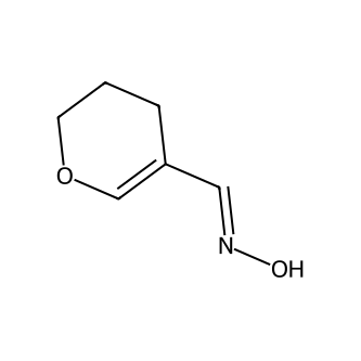 ON=CC1=COCCC1